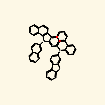 c1ccc(-c2ccccc2N(c2ccc3c(c2)oc2ccccc23)c2ccc3c4ccc5ccccc5c4n(-c4ccc5ccccc5c4)c3c2)cc1